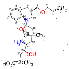 C=CCOC[C@@H]1Cc2ccccc2N(C(=O)CC(C)(C)C[C@H](N)[C@@H](O)C[C@@H](C)C(=O)O)C1